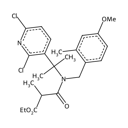 CCOC(=O)C(C)C(=O)N(Cc1ccc(OC)cc1C)C(C)(C)c1ccc(Cl)nc1Cl